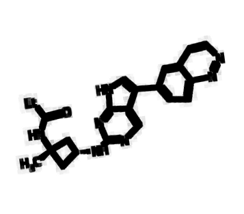 CCC(=O)N[C@]1(C)C[C@H](Nc2ncc3c(-c4ccc5nnccc5c4)c[nH]c3n2)C1